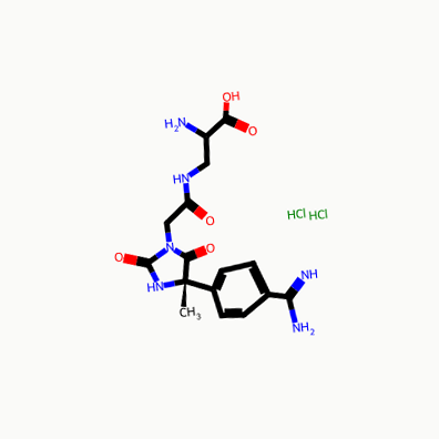 C[C@@]1(c2ccc(C(=N)N)cc2)NC(=O)N(CC(=O)NCC(N)C(=O)O)C1=O.Cl.Cl